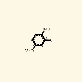 COc1ccc(N=O)c(C)c1